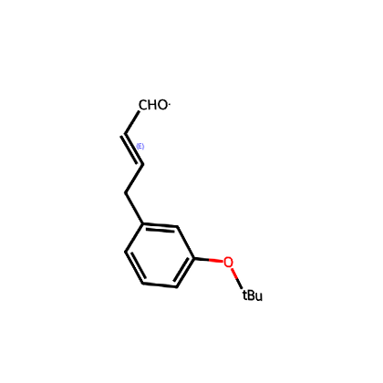 CC(C)(C)Oc1cccc(C/C=C/[C]=O)c1